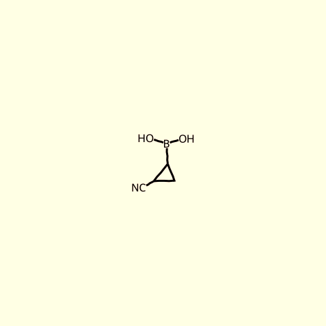 N#CC1CC1B(O)O